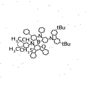 CC(C)(C)c1ccc2c(c1)c1cc(C(C)(C)C)ccc1n2-c1ccc2c(c1)N(c1ccccc1)c1cc(-c3ccccc3)cc3c1B2c1c(c2sc4ccccc4c2c2c1oc1ccccc12)N3c1ccc2c(c1)C(C)(C)CCC2(C)C